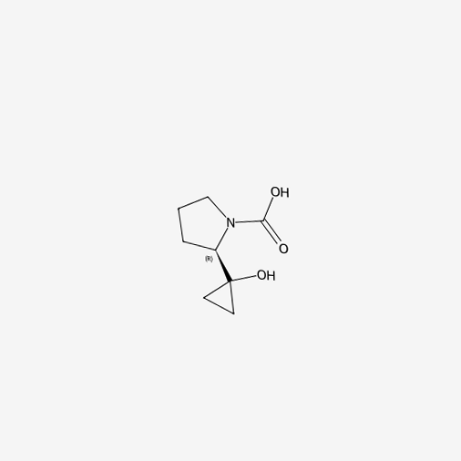 O=C(O)N1CCC[C@@H]1C1(O)CC1